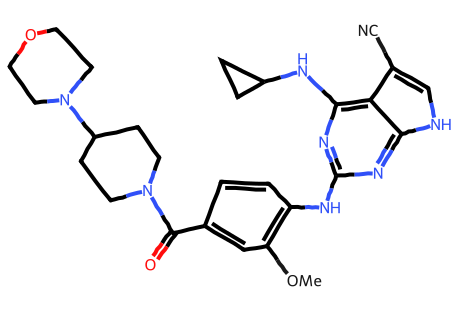 COc1cc(C(=O)N2CCC(N3CCOCC3)CC2)ccc1Nc1nc(NC2CC2)c2c(C#N)c[nH]c2n1